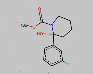 CC(C)(C)OC(=O)N1CCCCC1(O)c1cccc(F)c1